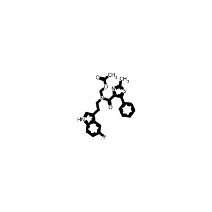 CC(=O)OCN(CCc1c[nH]c2ccc(F)cc12)C(=O)c1nc(C)sc1-c1ccccc1